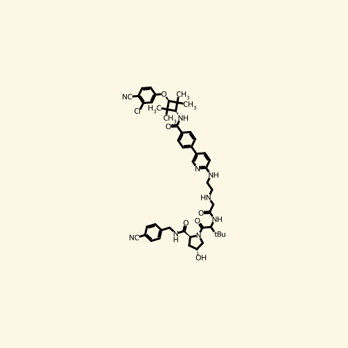 CC(C)(C)C(NC(=O)CNCCNc1ccc(-c2ccc(C(=O)N[C@H]3C(C)(C)[C@H](Oc4ccc(C#N)c(Cl)c4)C3(C)C)cc2)cn1)C(=O)N1C[C@H](O)C[C@H]1C(=O)NCc1ccc(C#N)cc1